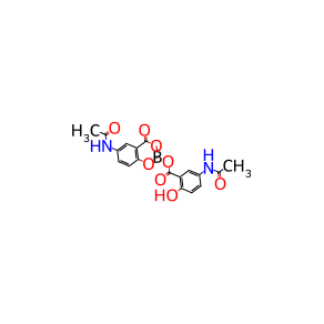 CC(=O)Nc1ccc(O)c(C(=O)OB2OC(=O)c3cc(NC(C)=O)ccc3O2)c1